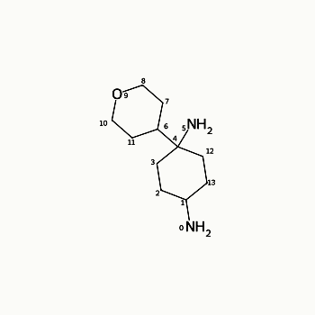 NC1CCC(N)(C2CCOCC2)CC1